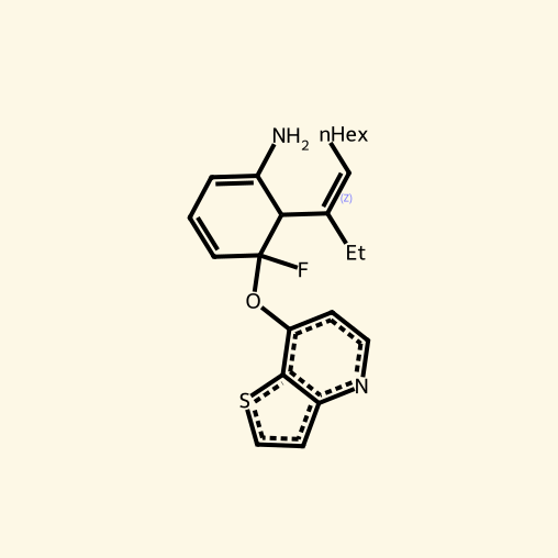 CCCCCC/C=C(/CC)C1C(N)=CC=CC1(F)Oc1ccnc2ccsc12